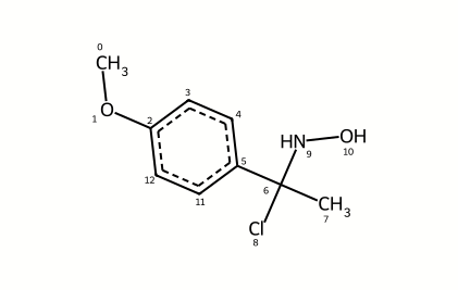 COc1ccc(C(C)(Cl)NO)cc1